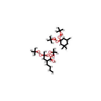 CC1CC(C)(C)CC(OOC(C)(C)C)(OOC(C)(C)C)C1.CCCCC(CC(C)(OOC(C)(C)C)OOC(C)(C)C)C(=O)O